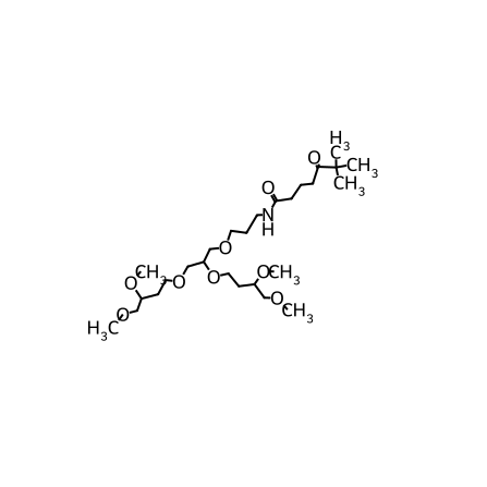 COCC(CCOCC(COCCCNC(=O)CCCC(=O)C(C)(C)C)OCCC(COC)OC)OC